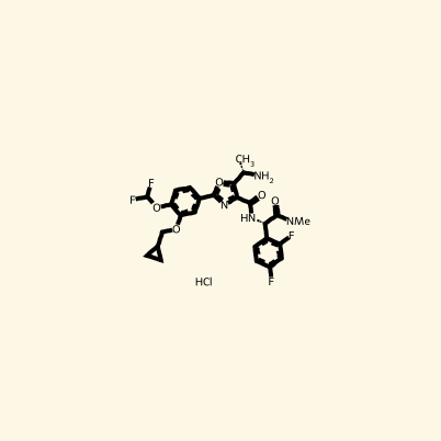 CNC(=O)[C@@H](NC(=O)c1nc(-c2ccc(OC(F)F)c(OCC3CC3)c2)oc1[C@H](C)N)c1ccc(F)cc1F.Cl